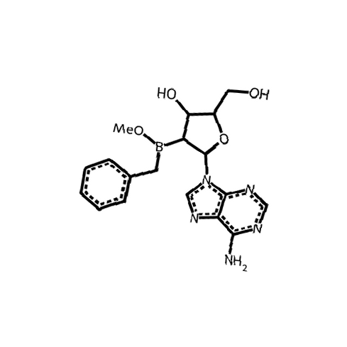 COB(Cc1ccccc1)C1C(O)C(CO)OC1n1cnc2c(N)ncnc21